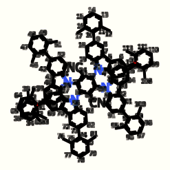 Cc1ccc2c(c1)c1cc(-c3c(C)cccc3C)ccc1n2-c1c(C#N)c(-n2c3ccc(-c4c(C)cccc4C)cc3c3cc(-c4c(C)cccc4C)ccc32)c(-n2c3ccc(-c4c(C)cccc4C)cc3c3cc(-c4c(C)cccc4C)ccc32)c(C#N)c1-n1c2ccc(-c3c(C)cccc3C)cc2c2cc(-c3c(C)cccc3C)ccc21